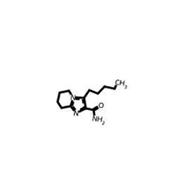 CCCCCc1c(C(N)=O)nc2n1CCCC2